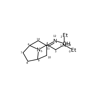 CCN(CC)CCN1C2CCC1CC(=NO)C2